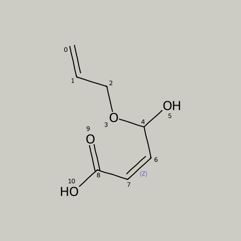 C=CCOC(O)/C=C\C(=O)O